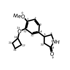 COc1ccc(C2CNC(=O)C2)cc1OC1CCC1